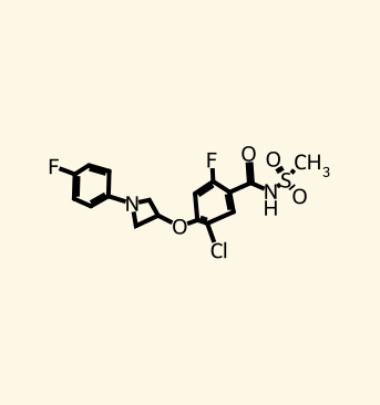 CS(=O)(=O)NC(=O)c1cc(Cl)c(OC2CN(c3ccc(F)cc3)C2)cc1F